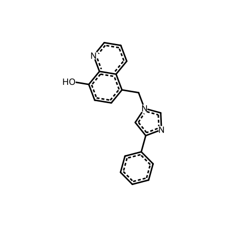 Oc1ccc(Cn2cnc(-c3ccccc3)c2)c2cccnc12